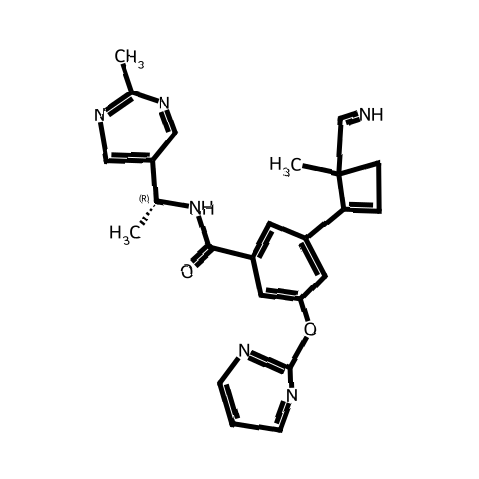 Cc1ncc([C@@H](C)NC(=O)c2cc(Oc3ncccn3)cc(C3=CCC3(C)C=N)c2)cn1